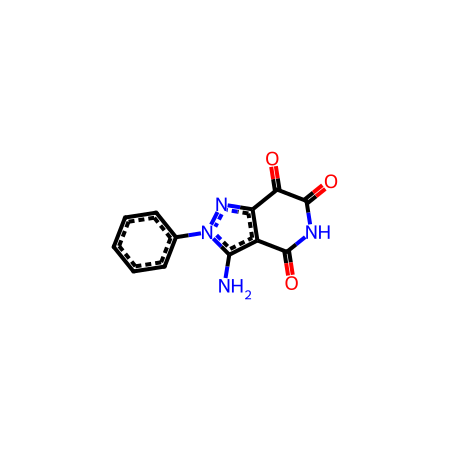 Nc1c2c(nn1-c1ccccc1)C(=O)C(=O)NC2=O